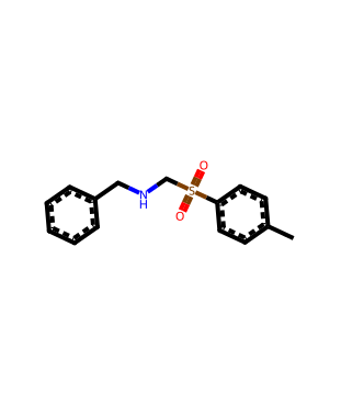 Cc1ccc(S(=O)(=O)CNCc2ccccc2)cc1